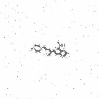 CNc1nc(/C(C=N)=C/C=C/N2CCN(C)CC2)cc2nccnc12